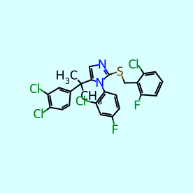 CC(C)(c1ccc(Cl)c(Cl)c1)c1cnc(SCc2c(F)cccc2Cl)n1-c1ccc(F)cc1Cl